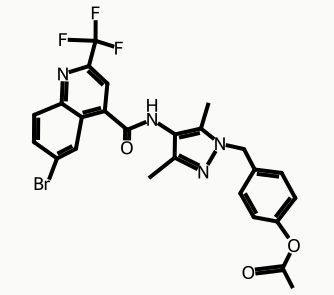 CC(=O)Oc1ccc(Cn2nc(C)c(NC(=O)c3cc(C(F)(F)F)nc4ccc(Br)cc34)c2C)cc1